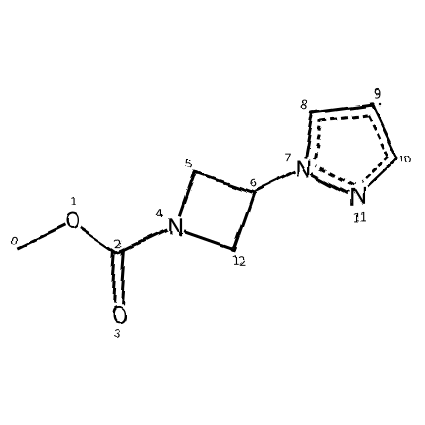 COC(=O)N1CC(n2c[c]cn2)C1